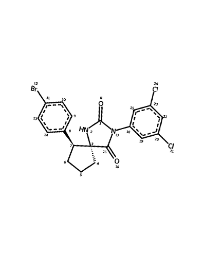 O=C1N[C@@]2(CCC[C@H]2c2ccc(Br)cc2)C(=O)N1c1cc(Cl)cc(Cl)c1